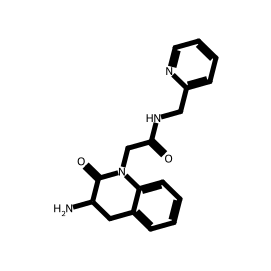 NC1Cc2ccccc2N(CC(=O)NCc2ccccn2)C1=O